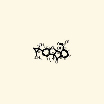 C[C@H]1C[C@@]1(C)c1ccc2c(c1)OC1(O)c3c(cccc3[N+](=O)[O-])C(=O)C21N